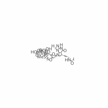 CSS[C@@H](C)O[C@@H]1C[C@H](n2cc(C#CCNC(=O)I)c3c(=O)[nH]c(N)nc32)O[C@@H]1COP(=O)(O)OP(=O)(O)OP(=O)(O)O